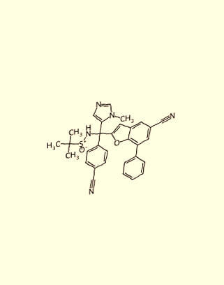 Cn1cncc1C(N[S+]([O-])C(C)(C)C)(c1ccc(C#N)cc1)c1cc2cc(C#N)cc(-c3ccccc3)c2o1